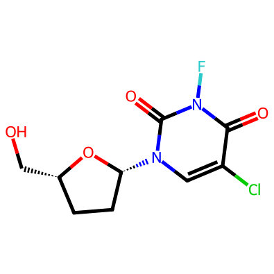 O=c1c(Cl)cn([C@@H]2CC[C@H](CO)O2)c(=O)n1F